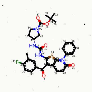 Cc1cc(C(=O)c2c(NC(=O)N[C@@H]3CCN(C(=O)OC(C)(C)C)C3)sc3c2ccc(=O)n3-c2ccccc2)ccc1F